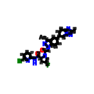 CC(=O)c1nn(CC(=O)N2C[C@H](F)C[C@H]2C(=O)Nc2cccc(Br)n2)c2ccc(-c3ccc4nc(C)nn4c3)cc12